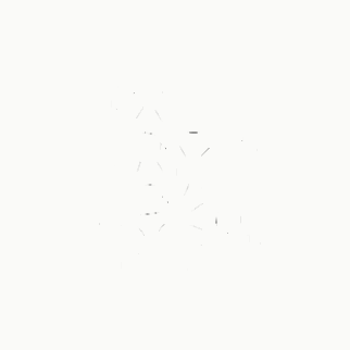 CC(C)c1cc2c3c(c1)N(c1ccc4c(c1)C(C)(C)CCC4(C)C)c1c(oc4cc5c(cc14)C(C)(C)CCC5(C)C)B3c1cc(C(C)(C)C)ccc1N2c1ccc(C(C)(C)C)cc1